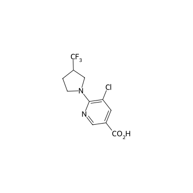 O=C(O)c1cnc(N2CCC(C(F)(F)F)C2)c(Cl)c1